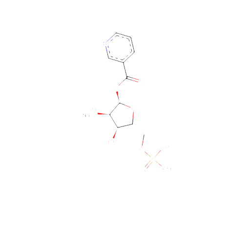 O=C(O[C@H]1O[C@H](COP(=O)(O)O)[C@@H](O)[C@H]1O)c1cccnc1.[Na+]